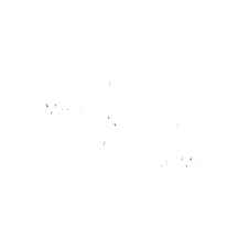 COC(=O)N1CCc2c(OC)cccc21